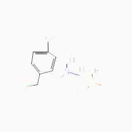 CN(C)C.C[S+](C)[O-].Cc1ccc(CCl)cc1